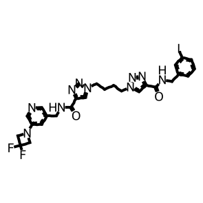 O=C(NCc1cccc(I)c1)c1cn(CCCCn2cc(C(=O)NCc3cncc(N4CC(F)(F)C4)c3)nn2)nn1